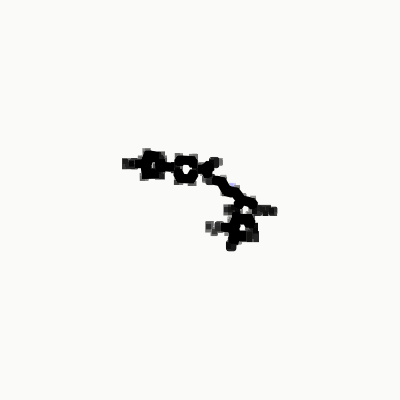 COCC(/C=C/COC(=O)N1CCN(c2ncc(C#N)cn2)CC1)Nc1cn[nH]c(=O)c1C(F)(F)F